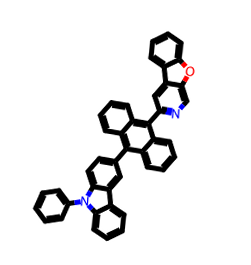 c1ccc(-n2c3ccccc3c3cc(-c4c5ccccc5c(-c5cc6c(cn5)oc5ccccc56)c5ccccc45)ccc32)cc1